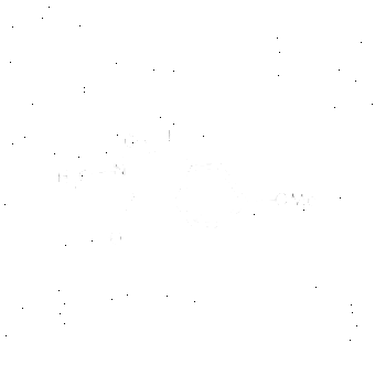 COc1ccc(C(=O)N(C)C)c(F)c1